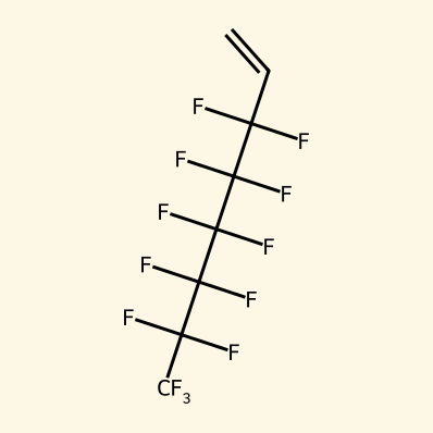 C=CC(F)(F)C(F)(F)C(F)(F)C(F)(F)C(F)(F)C(F)(F)F